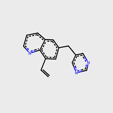 C=Cc1cc(Cc2cncnc2)cc2cccnc12